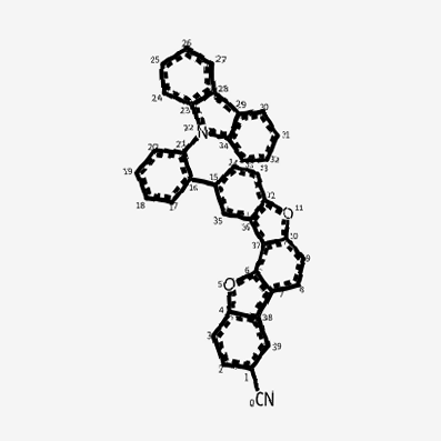 N#Cc1ccc2oc3c(ccc4oc5ccc(-c6ccccc6-n6c7ccccc7c7ccccc76)cc5c43)c2c1